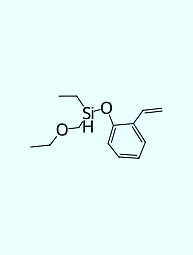 C=Cc1ccccc1O[SiH](CC)COCC